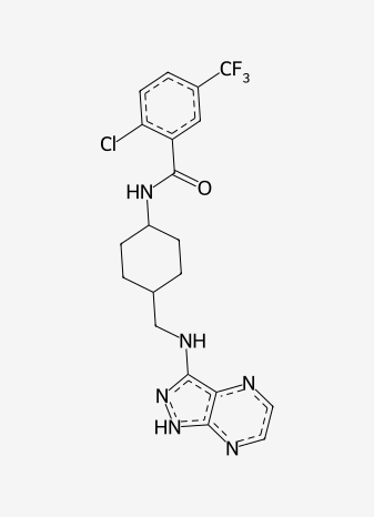 O=C(NC1CCC(CNc2n[nH]c3nccnc23)CC1)c1cc(C(F)(F)F)ccc1Cl